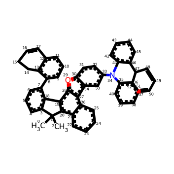 CC1(C)c2cccc(-c3cccc4c3CCC=C4)c2-c2c1c1ccccc1c1c2oc2ccc(N(c3ccccc3)c3ccccc3C3C=CC=CC3)cc21